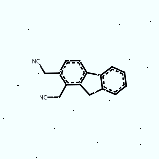 N#CCc1ccc2c(c1CC#N)Cc1ccccc1-2